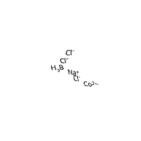 B.[Cl-].[Cl-].[Cl-].[Co+2].[Na+]